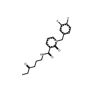 O=C(CI)CCCNC(=O)c1cccn(Cc2ccc(F)c(F)c2)c1=O